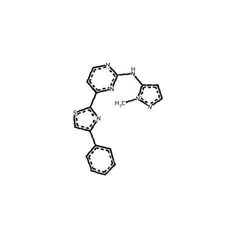 Cn1nccc1Nc1nccc(-c2nc(-c3ccccc3)cs2)n1